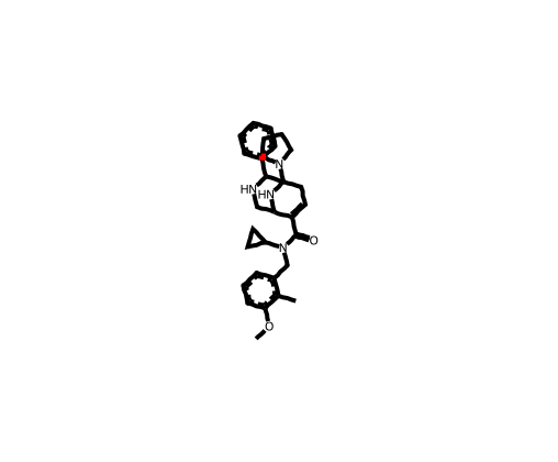 COc1cccc(CN(C(=O)C2=CCC3(N4CCCC4)NC2CNC3c2ccccc2)C2CC2)c1C